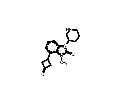 Cn1c(=O)n(C2CCCNC2)c2cccc(C3CC(=O)C3)c21